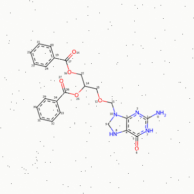 Nc1nc2c(c(=O)[nH]1)NCN2COCC(COC(=O)c1ccccc1)OC(=O)c1ccccc1